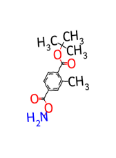 Cc1cc(C(=O)ON)ccc1C(=O)OC(C)(C)C